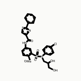 COc1ccc(NC(=O)c2csc(-c3ccccc3)n2)cc1S(=O)(=O)N(CC(O)CO)c1ccc(Cl)cc1